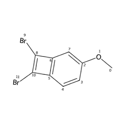 COc1ccc2c(c1)C(Br)=C2Br